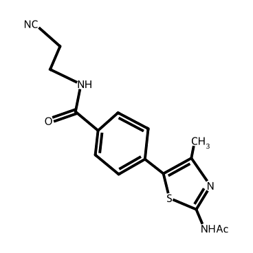 CC(=O)Nc1nc(C)c(-c2ccc(C(=O)NCCC#N)cc2)s1